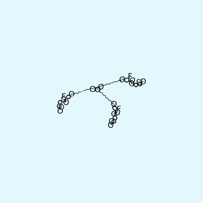 O=C(Oc1ccc2ccc(=O)oc2c1)c1ccc(OCCCCCCCCCCOCC(COCCCCCCCCCCOc2ccc(C(=O)Oc3ccc4ccc(=O)oc4c3)c(F)c2)OCCCCCCCCCCOc2ccc(C(=O)Oc3ccc4ccc(=O)oc4c3)c(F)c2)cc1F